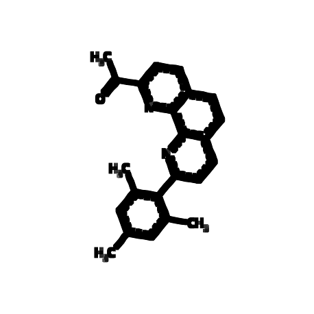 CC(=O)c1ccc2ccc3ccc(-c4c(C)cc(C)cc4C)nc3c2n1